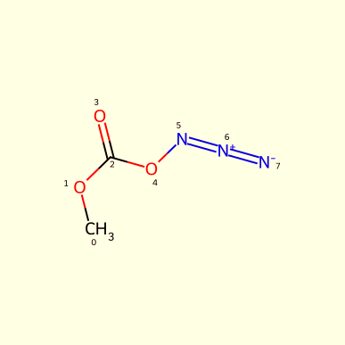 COC(=O)ON=[N+]=[N-]